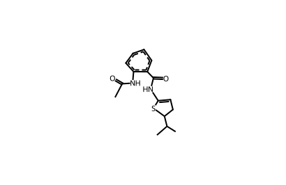 CC(=O)Nc1ccccc1C(=O)NC1=CCC(C(C)C)S1